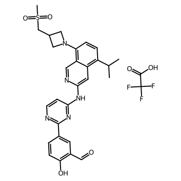 CC(C)c1ccc(N2CC(CS(C)(=O)=O)C2)c2cnc(Nc3ccnc(-c4ccc(O)c(C=O)c4)n3)cc12.O=C(O)C(F)(F)F